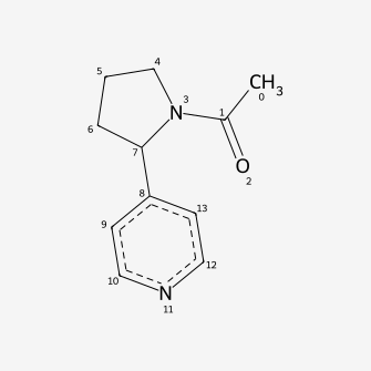 CC(=O)N1CCCC1c1ccncc1